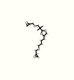 CC(C)(COCC1CO1)C1OCC(CCCCOCC2CO2)O1